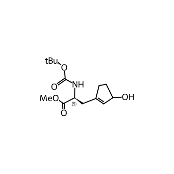 COC(=O)[C@H](CC1=CC(O)CC1)NC(=O)OC(C)(C)C